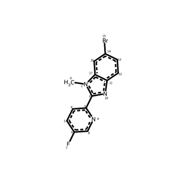 Cn1c(-c2ccc(F)cn2)nc2ccc(Br)cc21